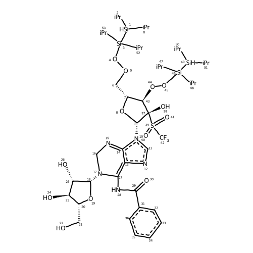 CC(C)[SiH](C(C)C)[Si](OOC[C@H]1O[C@@H](n2cnc3c2=NCN([C@@H]2O[C@H](CO)[C@@H](O)[C@@H]2O)C=3NC(=O)c2ccccc2)[C@@](O)(S(=O)(=O)C(F)(F)F)[C@@H]1OO[Si](C(C)C)(C(C)C)[SiH](C(C)C)C(C)C)(C(C)C)C(C)C